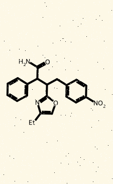 CCc1coc(C(Cc2ccc([N+](=O)[O-])cc2)C(C(N)=O)c2ccccc2)n1